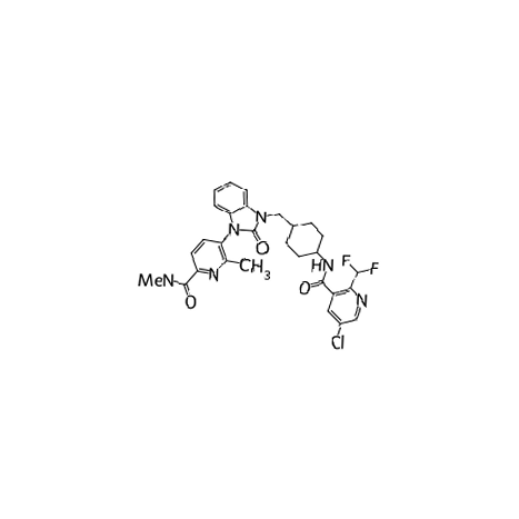 CNC(=O)c1ccc(-n2c(=O)n(CC3CCC(NC(=O)c4cc(Cl)cnc4C(F)F)CC3)c3ccccc32)c(C)n1